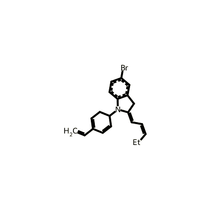 C=CC1=CCC(N2/C(=C/C=C\CC)Cc3cc(Br)ccc32)C=C1